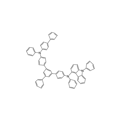 c1ccc(-c2ccc(N(c3ccccc3)c3ccc(-c4cc(-c5ccccc5)cc(-c5ccc(N(c6ccccc6)c6cccc7c6c6ccccc6n7-c6ccccc6)cc5)c4)cc3)cc2)cc1